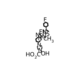 CCc1nc2ccc(N3CCN(C(O)C(=O)O)CC3)cn2c1N(C)c1nc(-c2ccc(F)cc2)cs1